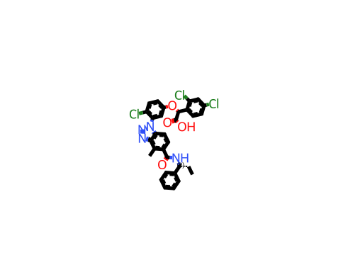 CC[C@@H](NC(=O)c1ccc2c(nnn2-c2cc(OC(C(=O)O)c3ccc(Cl)cc3Cl)ccc2Cl)c1C)c1ccccc1